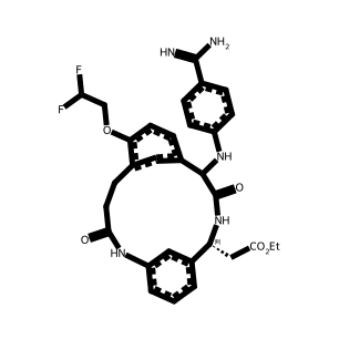 CCOC(=O)C[C@H]1NC(=O)C(Nc2ccc(C(=N)N)cc2)c2ccc(OCC(F)F)c(c2)CCC(=O)Nc2cccc1c2